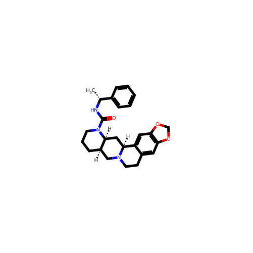 C[C@@H](NC(=O)N1CCC[C@@H]2CN3CCc4cc5c(cc4[C@@H]3C[C@@H]21)OCO5)c1ccccc1